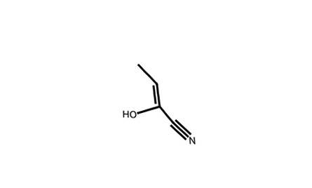 CC=C(O)C#N